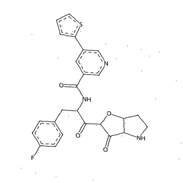 O=C(NC(Cc1ccc(F)cc1)C(=O)C1OC2CCNC2C1=O)c1cncc(-c2cccs2)c1